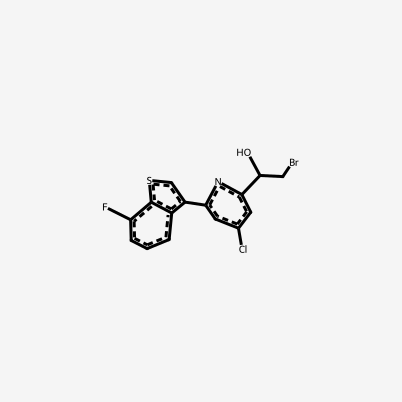 OC(CBr)c1cc(Cl)cc(-c2csc3c(F)cccc23)n1